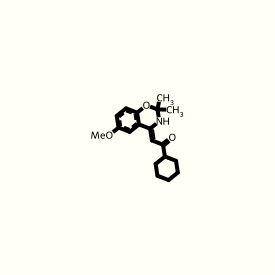 COc1ccc2c(c1)/C(=C/C(=O)C1CCCCC1)NC(C)(C)O2